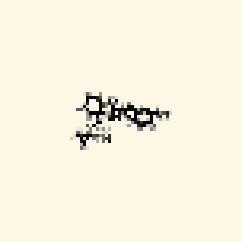 N#CC1(NC(=O)C2(NC(=O)c3cc4cc(Br)ccc4o3)CCCCC2)CC1